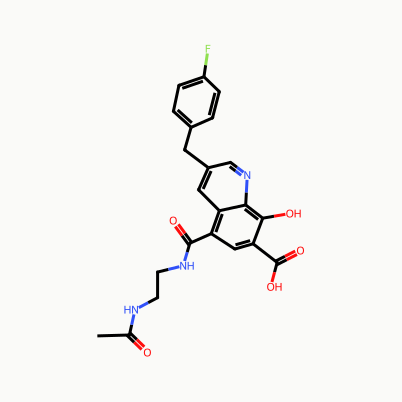 CC(=O)NCCNC(=O)c1cc(C(=O)O)c(O)c2ncc(Cc3ccc(F)cc3)cc12